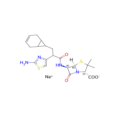 CC1(C)S[C@@H]2[C@H](NC(=O)C(CC3C4CC=CCC43)c3csc(N)n3)C(=O)N2[C@H]1C(=O)[O-].[Na+]